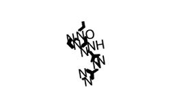 CCCn1c(=O)c2[nH]c(-c3cnn(Cc4cncnc4)c3)nc2n2ccnc12